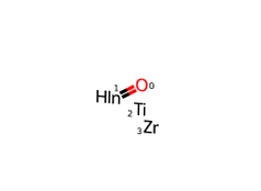 [O]=[InH].[Ti].[Zr]